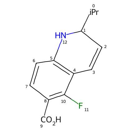 CC(C)C1C=Cc2c(ccc(C(=O)O)c2F)N1